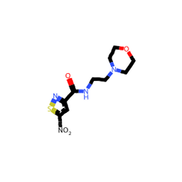 O=C(NCCN1CCOCC1)c1cc([N+](=O)[O-])sn1